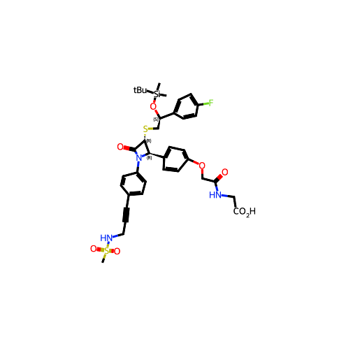 CC(C)(C)[Si](C)(C)O[C@H](CS[C@H]1C(=O)N(c2ccc(C#CCNS(C)(=O)=O)cc2)[C@@H]1c1ccc(OCC(=O)NCC(=O)O)cc1)c1ccc(F)cc1